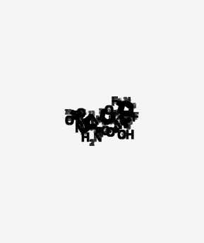 CC(C)(C)N(C(=O)O)[C@H]1C[C@@H](N2Cc3c(cnn3S(C)(=O)=O)[C@H]2C(N)=O)CO[C@@H]1c1cc(F)ccc1F